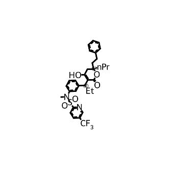 CCC[C@]1(CCc2ccccc2)CC(O)=C([C@H](CC)c2cccc(N(C)S(=O)(=O)c3ccc(C(F)(F)F)cn3)c2)C(=O)O1